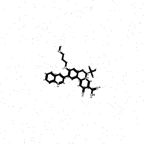 COCCCOc1cc2c(cc1-c1cnc3ccccc3c1)-c1cc(=O)c(C(=O)O)cn1[C@H](C(C)(C)C)C2